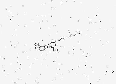 CCCCCCCCCCCC(Cc1cccc(OC)c1)NC(N)=S